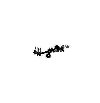 COC(=O)N[C@H](C(=O)N1CCC[C@H]1c1ncc(-c2ccc(C#CC#Cc3cnc(C4CCCN4)[nH]3)c(-c3ccccc3)c2)[nH]1)C(C)C